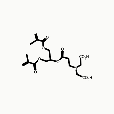 C=C(C)C(=O)OCC(COC(=O)C(=C)C)OC(=O)CCN(CC(=O)O)CC(=O)O